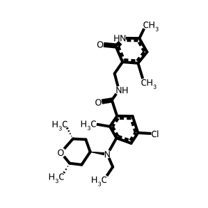 CCN(c1cc(Cl)cc(C(=O)NCc2c(C)cc(C)[nH]c2=O)c1C)[C@@H]1C[C@@H](C)O[C@@H](C)C1